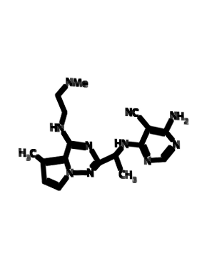 CNCCNc1nc(C(C)Nc2ncnc(N)c2C#N)nn2ccc(C)c12